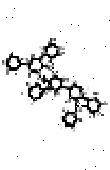 C1=C(c2ccccc2)C=C(n2c3ccccc3c3cc(-c4ccc5c6ccccc6n(-c6ccccc6)c5c4)ccc32)C2Oc3ccccc3C12